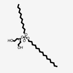 CCCCCCCCCCCCCCCCOP(=O)(OCCCCCCCCCCCC)ON(CCO)CCO